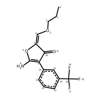 CCCO/C=C1/OC(N)=C(c2cccc(C(F)(F)F)c2)C1=O